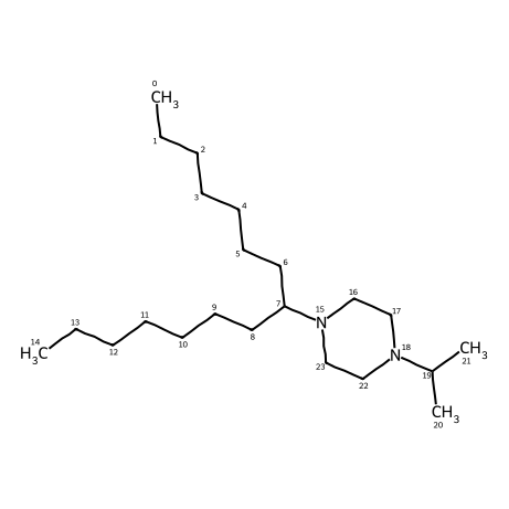 CCCCCCCC(CCCCCCC)N1CCN(C(C)C)CC1